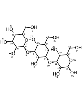 OCC1O[C@@H](O[C@@H]2C(O)[C@H](O[C@@H]3C(O)[C@H](O)OC(CO)[C@H]3O)CC(CO)[C@H]2O)C(O)[C@@H](O)[C@@H]1O